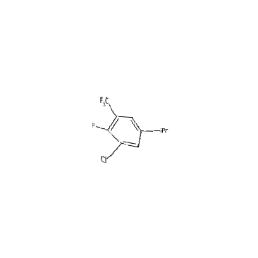 CC(C)c1cc(Cl)c(F)c(C(F)(F)F)c1